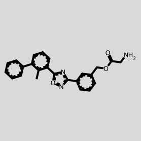 Cc1c(-c2ccccc2)cccc1-c1nc(-c2cccc(COC(=O)CN)c2)no1